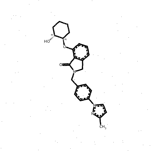 Cc1ccn(-c2ccc(CN3Cc4cccc(O[C@@H]5CCCC[C@H]5O)c4C3=O)cc2)n1